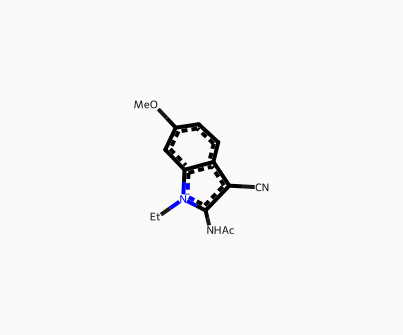 CCn1c(NC(C)=O)c(C#N)c2ccc(OC)cc21